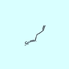 C=CC[C]=[Se]